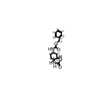 O=C(N[C@@H]1CC[C@H]2NC(=O)O[C@@H]2C1)OCc1ccccc1